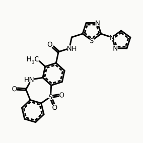 Cc1c(C(=O)NCc2cnc(-n3cccn3)s2)ccc2c1NC(=O)c1ccccc1S2(=O)=O